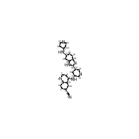 N#Cc1ccc2nccc(Nc3cncc(-c4nc5ccc(Nc6ccncc6)cc5[nH]4)c3)c2c1